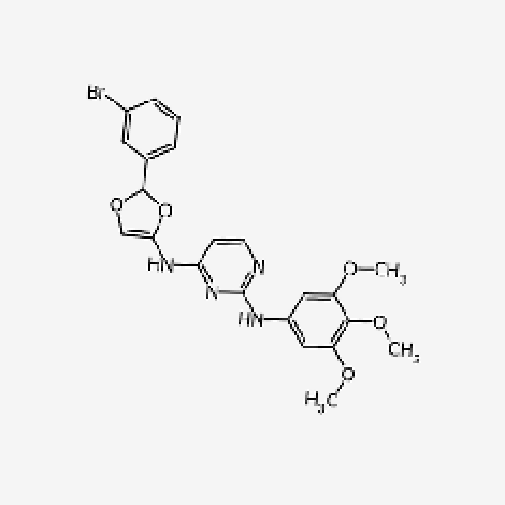 COc1cc(Nc2nccc(NC3=COC(c4cccc(Br)c4)O3)n2)cc(OC)c1OC